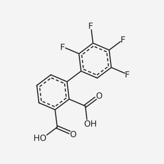 O=C(O)c1cccc(-c2cc(F)c(F)c(F)c2F)c1C(=O)O